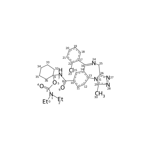 CCN(CC)C(=O)OC1(NC(=O)c2ccc3c(c2)C(c2ccccc2Cl)=NCc2nnc(C)n2-3)CCCCC1